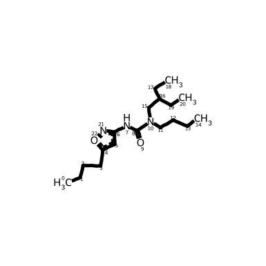 CCCCc1cc(NC(=O)N(CCCC)CC(CC)CC)no1